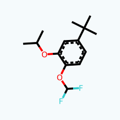 CC(C)Oc1cc(C(C)(C)C)ccc1OC(F)F